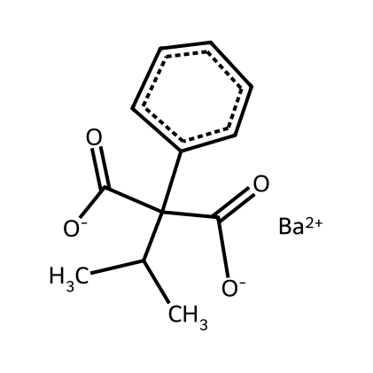 CC(C)C(C(=O)[O-])(C(=O)[O-])c1ccccc1.[Ba+2]